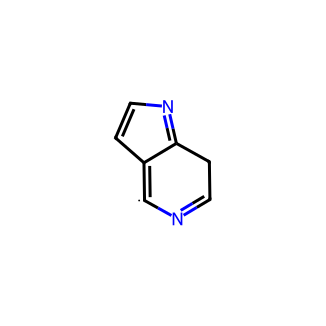 [C]1=C2C=CN=C2CC=N1